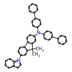 CC1(C)c2cc(N(c3ccc(-c4ccccc4)cc3)c3ccc(-c4ccccc4)cc3)ccc2-c2ccc(-n3ccc4ccccc43)cc21